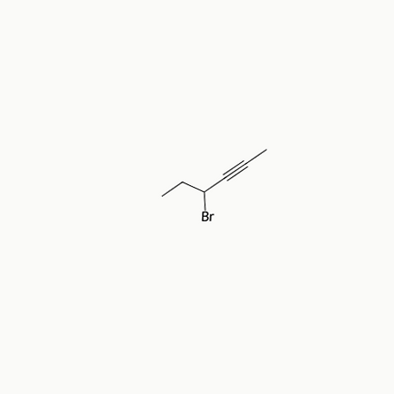 CC#CC(Br)CC